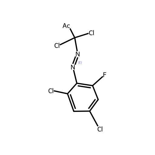 CC(=O)C(Cl)(Cl)/N=N/c1c(F)cc(Cl)cc1Cl